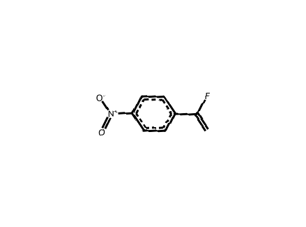 C=C(F)c1ccc([N+](=O)[O-])cc1